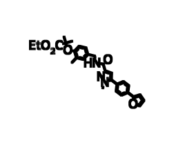 CCOC(=O)C(C)(C)Oc1ccc(CNC(=O)c2cc(-c3ccc(-c4ccco4)cc3)n(C)n2)cc1C